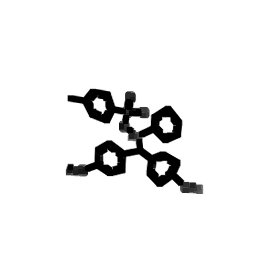 CC(=O)Oc1ccc(C(c2ccc(OC(C)=O)cc2)[As](OS(=O)(=O)c2ccc(C)cc2)c2ccccc2)cc1